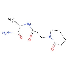 C[C@H](NC(=O)CCN1CCCCC1=O)C(N)=O